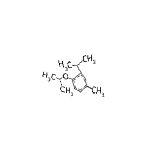 Cc1ccc(OC(C)C)c(C(C)C)c1